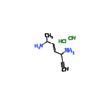 C#CC(N)C=CC(C)N.Cl.Cl